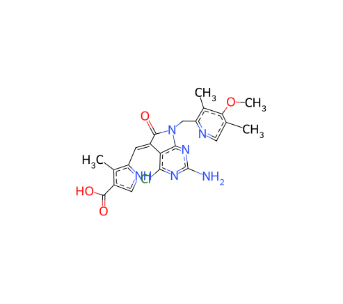 COc1c(C)cnc(CN2C(=O)/C(=C/c3[nH]cc(C(=O)O)c3C)c3c(Cl)nc(N)nc32)c1C